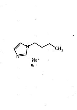 CCCCn1ccnc1.[Br-].[Na+]